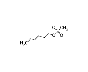 C=CC=CCCOS(C)(=O)=O